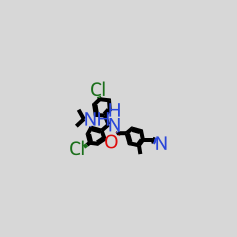 Cc1cc(C(=O)NC(C2=CCC(Cl)C=C2)c2ccc(Cl)cc2NC(C)C)ccc1C#N